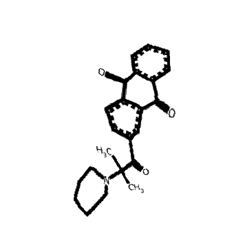 CC(C)(C(=O)c1ccc2c(c1)C(=O)c1ccccc1C2=O)N1CCCCC1